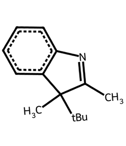 CC1=Nc2ccccc2C1(C)C(C)(C)C